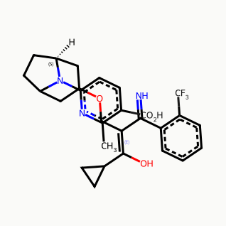 Cc1nc(N2C3CC[C@H]2CC(OC/C(C(=N)c2ccccc2C(F)(F)F)=C(/O)C2CC2)C3)ccc1C(=O)O